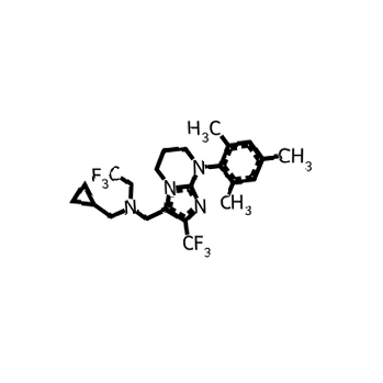 Cc1cc(C)c(N2CCCn3c2nc(C(F)(F)F)c3CN(CC2CC2)CC(F)(F)F)c(C)c1